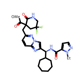 CCn1nccc1C(=O)N[C@H](c1cn2nc(CC3(C(=O)OC)CC(F)(F)CNC3=O)ccc2n1)C1CCCCCC1